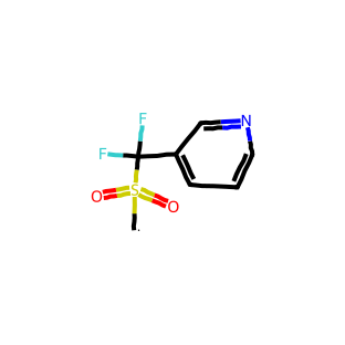 [CH2]S(=O)(=O)C(F)(F)c1cccnc1